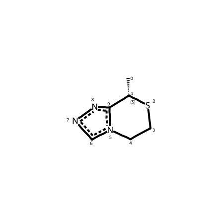 C[C@@H]1SCCn2cnnc21